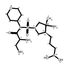 C[C@]1(N)CN(S(=O)(=O)N(C(=O)C(N)CN)C2CCOCC2)C[C@@H]1CCCB(O)O